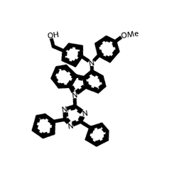 COc1ccc(N(c2ccc(CO)cc2)c2cccc3c2c2ccccc2n3-c2nc(-c3ccccc3)nc(-c3ccccc3)n2)cc1